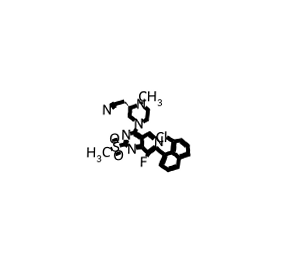 CN1CCN(c2nc(S(C)(=O)=O)nc3c(F)c(-c4cccc5cccc(Cl)c45)ncc23)C[C@@H]1CC#N